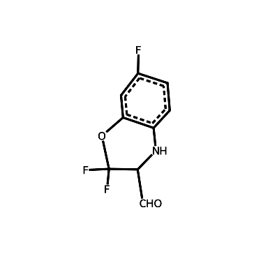 O=CC1Nc2ccc(F)cc2OC1(F)F